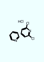 Cl.Clc1cccc(Cl)n1.c1ccncc1